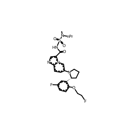 CCCN(C)S(=O)(=O)NC(=O)c1cnc2ccc(N3CCC[C@@H]3c3cc(F)ccc3OCCF)cn12